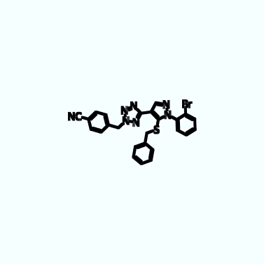 N#Cc1ccc(Cn2nnc(-c3cnn(-c4ccccc4Br)c3SCc3ccccc3)n2)cc1